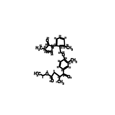 CCOC(=O)CC(C)C(=O)c1ccc(OCc2c(C)cccc2-n2nnn(C)c2=O)c(C)c1